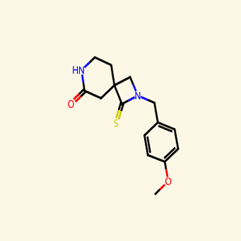 COc1ccc(CN2CC3(CCNC(=O)C3)C2=S)cc1